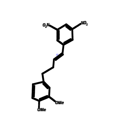 COc1ccc(CC/C=C/c2cc([N+](=O)[O-])cc([N+](=O)[O-])c2)cc1OC